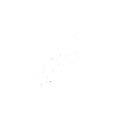 CC[C@@]1(O)C(=O)OCc2c1cc1n(c2=O)Cc2c-1nc1cc(F)c(C)cc1c2CN1CCS(=O)(=O)CC1CO